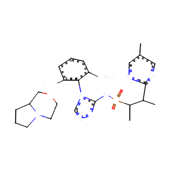 COc1cccc(OC)c1-n1c(NS(=O)(=O)C(C)C(C)c2ncc(C)cn2)nnc1[C@@H]1CN2CCC[C@H]2CO1